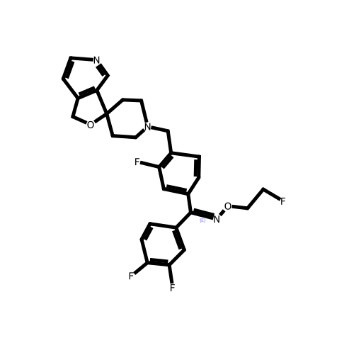 FCCO/N=C(/c1ccc(F)c(F)c1)c1ccc(CN2CCC3(CC2)OCc2ccncc23)c(F)c1